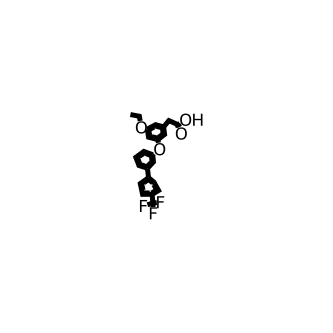 CCOc1cc(CC(=O)O)cc(Oc2cccc(-c3ccc(C(F)(F)F)cc3)c2)c1